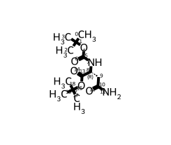 CC(C)(C)OC(=O)N[C@H](CC(N)=O)C(=O)OC(C)(C)C